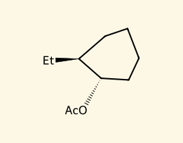 CC[C@H]1CCCC[C@@H]1OC(C)=O